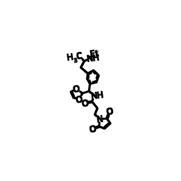 CCNC(C)Cc1cccc(C(NC(=O)CCN2C(=O)C=CC2=O)C2OC=CO2)c1